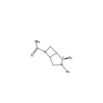 CC(=O)[C@@H]1C2CN(C(=O)C(C)(C)C)C2CN1C(C)=O